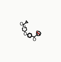 O=C(c1ccc(OC2CCN(C(=O)C3CC3)CC2)cc1)N1CC2CCC(CC2)C1